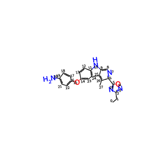 CCc1noc(-c2ncc3[nH]c4ccc(Oc5ccc(N)cc5)cc4c3c2C)n1